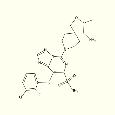 CC1OCC2(CCN(c3nc(S(N)(=O)=O)c(Sc4cccc(Cl)c4Cl)c4ncnn34)CC2)C1N